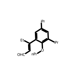 CCCOc1c(C(=CC=O)CC)cc(C(C)C)cc1C(C)C